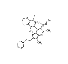 Cc1nc2c(cc(CCc3ccncc3)n2C)c(-c2cc(F)c3c(c2C)CCCO3)c1[C@H](OC(C)(C)C)C(=O)O